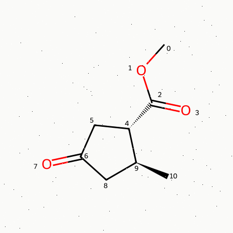 COC(=O)[C@H]1CC(=O)C[C@@H]1C